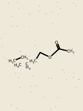 C.C.CC.CCOC(C)=O